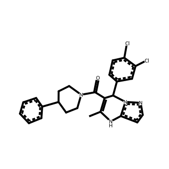 CC1=C(C(=O)N2CCC(c3ccccc3)CC2)C(c2ccc(Cl)c(Cl)c2)n2nccc2N1